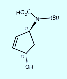 CC(C)(C)N(C(=O)O)[C@@H]1C=C[C@@H](O)C1